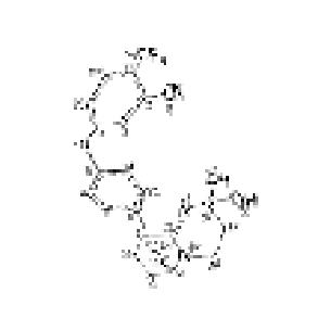 N#Cc1cc(Oc2ccc(C34CCC(CC3)N3CCS(O)(O)N=C34)cc2)ccc1C(F)(F)F